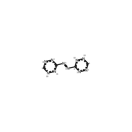 c1nnc(N=Nc2nncnn2)nn1